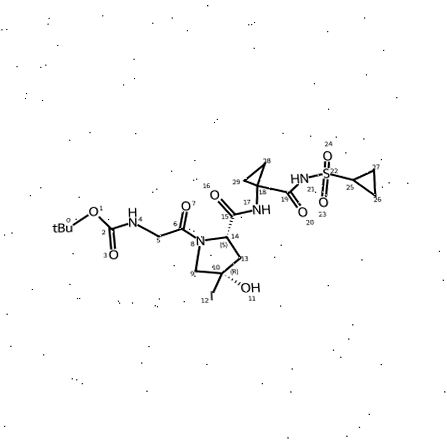 CC(C)(C)OC(=O)NCC(=O)N1C[C@](O)(I)C[C@H]1C(=O)NC1(C(=O)NS(=O)(=O)C2CC2)CC1